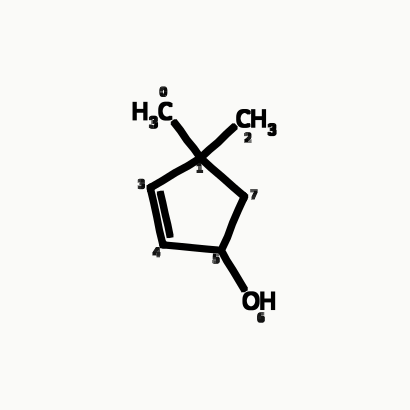 CC1(C)C=CC(O)C1